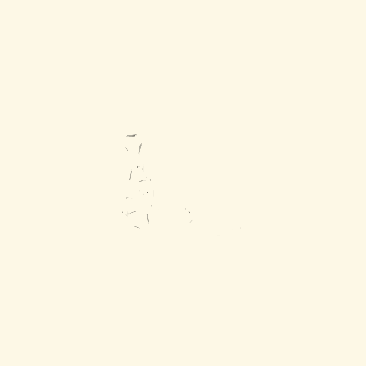 O=C(Nc1ccn(Cc2ccccc2)n1)c1ncccc1OCC1CCCN1C(=O)C1CCC(C(F)(F)F)CC1